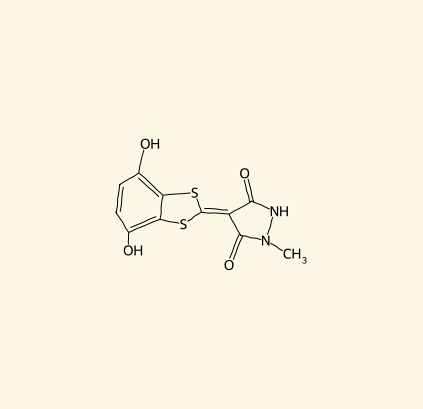 CN1NC(=O)C(=C2Sc3c(O)ccc(O)c3S2)C1=O